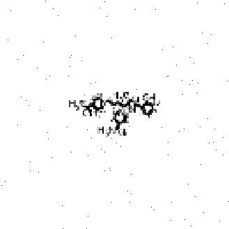 Cc1ccccc1-c1nc(C(CCCN2CCC(C(C)C)CC2)N2CCC(C(N)=O)CC2)c(C)o1